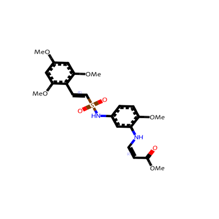 COC(=O)/C=C\Nc1cc(NS(=O)(=O)/C=C/c2c(OC)cc(OC)cc2OC)ccc1OC